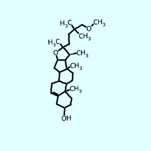 COCC(C)(C)CCC1(C)OC2CC3C4CC=C5CC(O)CCC5(C)C4CCC3(C)C2[C@@H]1C